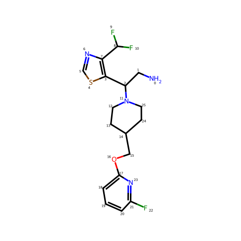 NCC(c1scnc1C(F)F)N1CCC(COc2cccc(F)n2)CC1